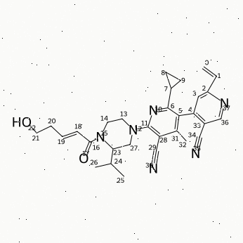 C=Cc1cc(-c2c(C3CC3)nc(N3CCN(C(=O)/C=C/CCO)C(C(C)C)C3)c(C#N)c2C)c(C#N)cn1